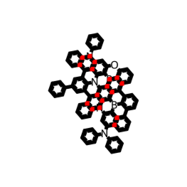 c1ccc(-c2cc(-c3ccccc3)c(N3c4cc5c(cc4B4c6ccccc6Oc6cc(N(c7ccccc7)c7ccccc7)cc3c64)B(c3c(-c4ccccc4)cccc3-c3ccccc3)c3ccc(N(c4ccccc4)c4ccccc4)cc3N5c3ccccc3)c(-c3ccccc3)c2)cc1